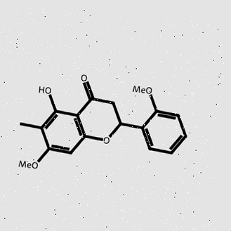 COc1ccccc1C1CC(=O)c2c(cc(OC)c(C)c2O)O1